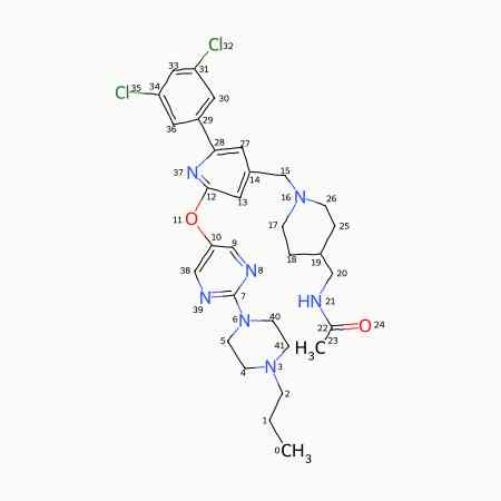 CCCN1CCN(c2ncc(Oc3cc(CN4CCC(CNC(C)=O)CC4)cc(-c4cc(Cl)cc(Cl)c4)n3)cn2)CC1